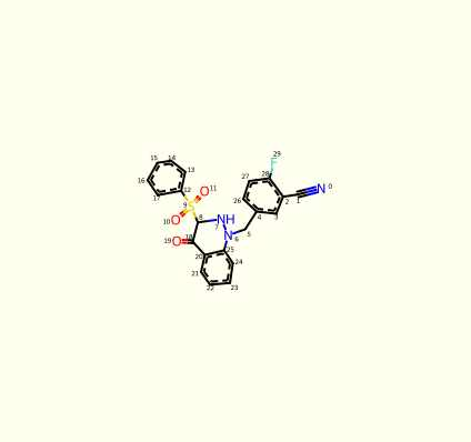 N#Cc1cc(CN2NC(S(=O)(=O)c3ccccc3)C(=O)c3ccccc32)ccc1F